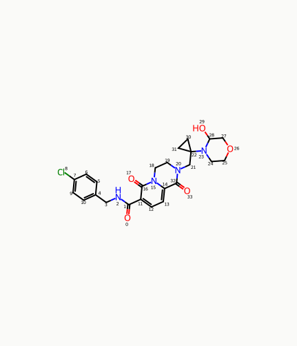 O=C(NCc1ccc(Cl)cc1)c1ccc2n(c1=O)CCN(CC1(N3CCOCC3O)CC1)C2=O